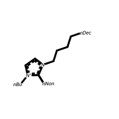 CCCCCCCCCCCCCCn1cc[n+](CCCC)c1CCCCCCCCC